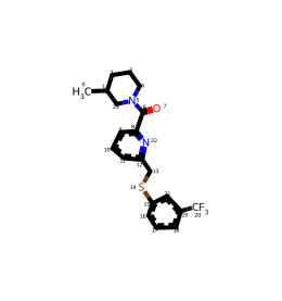 CC1CCCN(C(=O)c2cccc(CSc3cccc(C(F)(F)F)c3)n2)C1